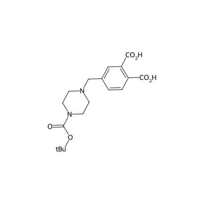 CC(C)(C)OC(=O)N1CCN(Cc2ccc(C(=O)O)c(C(=O)O)c2)CC1